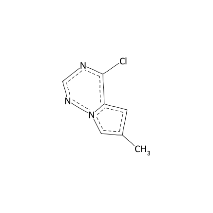 Cc1cc2c(Cl)ncnn2c1